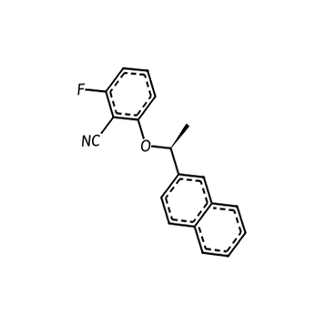 C[C@H](Oc1cccc(F)c1C#N)c1ccc2ccccc2c1